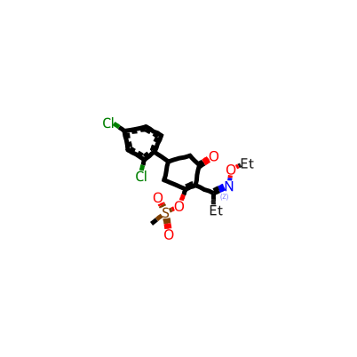 CCO/N=C(/CC)C1=C(OS(C)(=O)=O)CC(c2ccc(Cl)cc2Cl)CC1=O